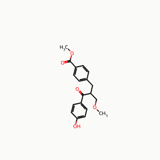 COCC(Cc1ccc(C(=O)OC)cc1)C(=O)c1ccc(O)cc1